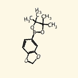 CC1(C)OB(c2ccc3c(c2)OCO3)OC1(C)C